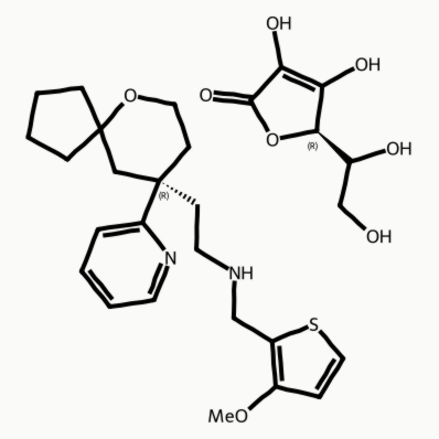 COc1ccsc1CNCC[C@@]1(c2ccccn2)CCOC2(CCCC2)C1.O=C1O[C@H](C(O)CO)C(O)=C1O